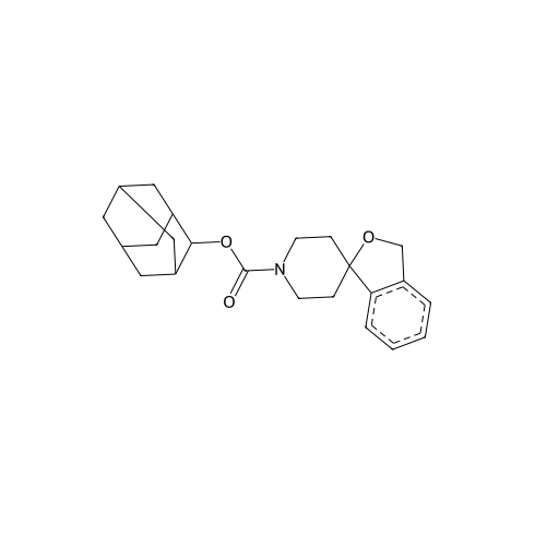 O=C(OC1C2CC3CC(C2)CC1C3)N1CCC2(CC1)OCc1ccccc12